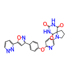 O=C1NC(=O)C2(CCCN2c2ccc(Oc3ccc(-c4cc(-c5cccnn5)on4)cc3)nc2)C(=O)N1